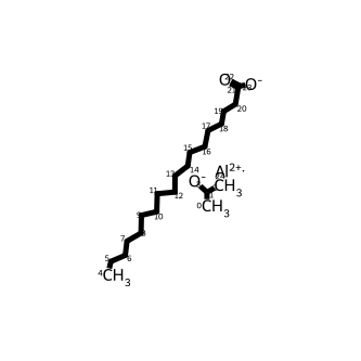 CC(C)[O-].CCCCCCCCCCCCCCCCCC(=O)[O-].[Al+2]